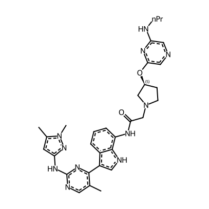 CCCNc1cncc(O[C@H]2CCN(CC(=O)Nc3cccc4c(-c5nc(Nc6cc(C)n(C)n6)ncc5C)c[nH]c34)C2)n1